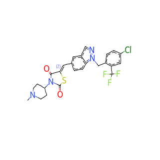 CN1CCC(N2C(=O)S/C(=C\c3ccc4c(cnn4Cc4ccc(Cl)cc4C(F)(F)F)c3)C2=O)CC1